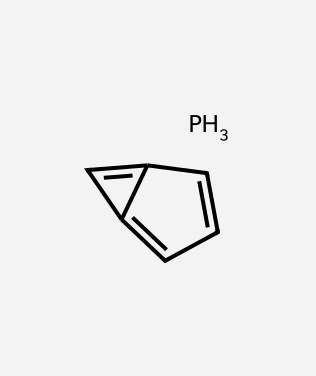 P.c1cc2cc-2c1